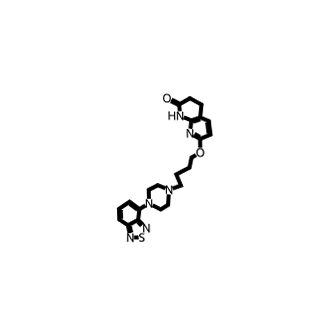 O=C1CCc2ccc(OCCCCN3CCN(c4cccc5nsnc45)CC3)nc2N1